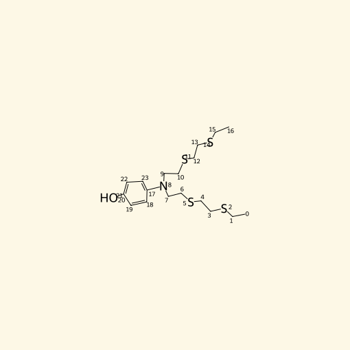 CCSCCSCCN(CCSCCSCC)c1ccc(O)cc1